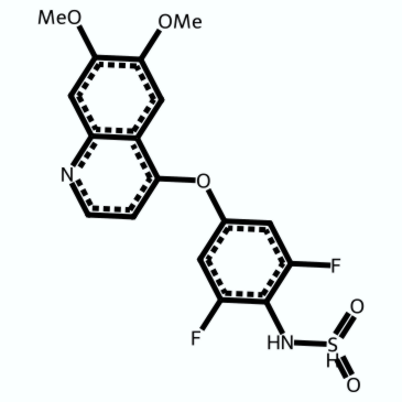 COc1cc2nccc(Oc3cc(F)c(N[SH](=O)=O)c(F)c3)c2cc1OC